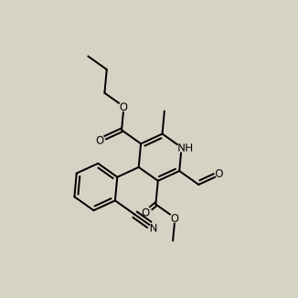 CCCOC(=O)C1=C(C)NC(C=O)=C(C(=O)OC)C1c1ccccc1C#N